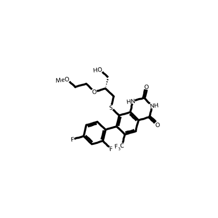 COCCO[C@H](CO)CSc1c(-c2ccc(F)cc2F)c(C(F)(F)F)cc2c(=O)[nH]c(=O)[nH]c12